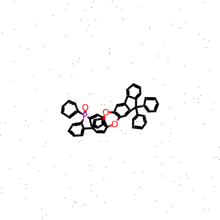 O=P(c1ccccc1)(c1ccccc1)c1ccccc1-c1ccc2c(c1)Oc1cc3c(cc1O2)C(c1ccccc1)(c1ccccc1)c1ccccc1-3